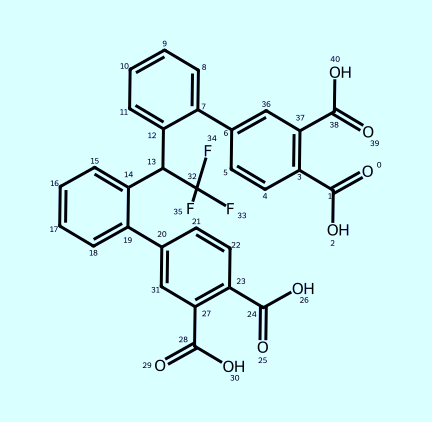 O=C(O)c1ccc(-c2ccccc2C(c2ccccc2-c2ccc(C(=O)O)c(C(=O)O)c2)C(F)(F)F)cc1C(=O)O